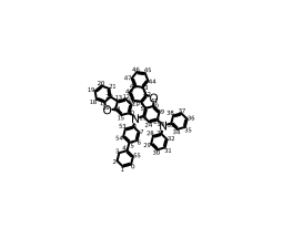 C1=CCCC(c2ccc(N(c3ccc4c(c3)oc3ccccc34)c3cc(N(c4ccccc4)c4ccccc4)cc4oc5c6ccccc6ccc5c34)cc2)=C1